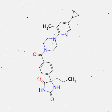 CCC[C@]1(c2ccc(C(=O)N3CCN(c4ncc(C5CC5)cc4C)CC3)cc2)NC(=O)NC1=O